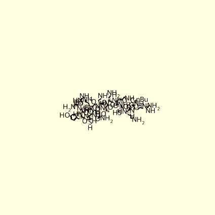 CCCC[C@H](NC(=O)[C@H](CCCNC(=N)N)NC(=O)[C@H](CCCN)NC(=O)[C@H](CS)NC(=O)[C@H](CCCN)NC(=O)[C@@H](CCN)NC(=O)[C@@H](NC(=O)[C@H](CCN)NC(=O)[C@H](CCCNC(=N)N)NC(=O)[C@H](CC(N)=O)NC(=O)[C@@H](NC(=O)[C@H](Cc1ccc(O)cc1)NC(=O)[C@@H](NC(=O)[C@@H](N)[C@@H](C)CC)[C@@H](C)CC)C(C)(C)S)[C@@H](C)O)C(=O)O